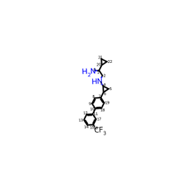 NC(CNC1CC1c1ccc(-c2cccc(C(F)(F)F)c2)cc1)C1CC1